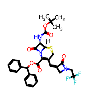 CC(C)(C)OC(=O)N[C@@H]1C(=O)N2C(C(=O)OC(c3ccccc3)c3ccccc3)=C(/C=C3/CN(CC(F)(F)F)C3=O)CS[C@H]12